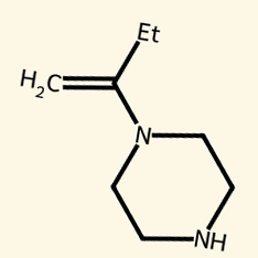 C=C(CC)N1CCNCC1